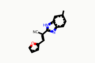 Cc1ccc2nc(C(C#N)=Cc3ccco3)[nH]c2c1